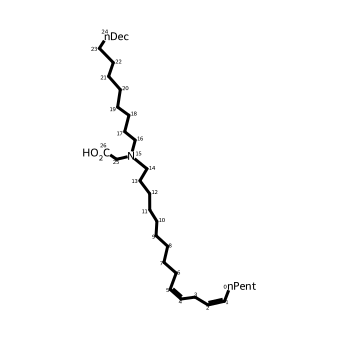 CCCCC/C=C\C/C=C\CCCCCCCCCN(CCCCCCCCCCCCCCCCCC)CC(=O)O